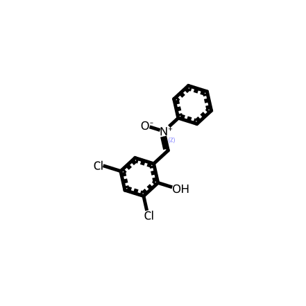 [O-]/[N+](=C\c1cc(Cl)cc(Cl)c1O)c1ccccc1